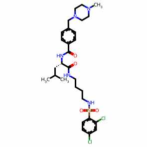 CC(C)C[C@H](NC(=O)c1ccc(CN2CCN(C)CC2)cc1)C(=O)NCCCCNS(=O)(=O)c1ccc(Cl)cc1Cl